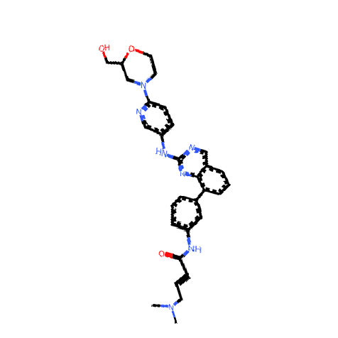 CN(C)CC=CC(=O)Nc1cccc(-c2cccc3cnc(Nc4ccc(N5CCOC(CO)C5)nc4)nc23)c1